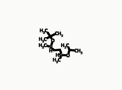 CC(C)O[SiH](C)CC[SiH](C)OC(C)(C)C